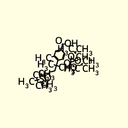 Cc1cc(C(=O)O)cc(OP(=O)(OC(C)(C)C)OC(C)(C)C)c1C(C)(C)CCO[Si](C)(C)C(C)(C)C